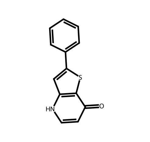 O=c1cc[nH]c2cc(-c3ccccc3)sc12